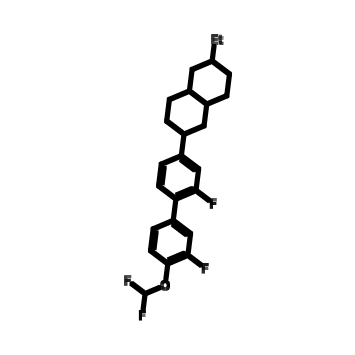 CCC1CCC2CC(c3ccc(-c4ccc(OC(F)F)c(F)c4)c(F)c3)CCC2C1